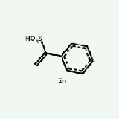 C=C(c1ccccc1)S(=O)(=O)O.[Zn]